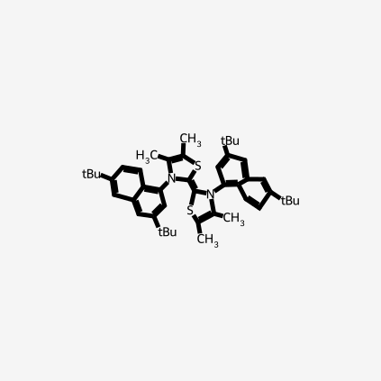 CC1=C(C)N(c2cc(C(C)(C)C)cc3cc(C(C)(C)C)ccc23)/C(=C2\SC(C)=C(C)N2c2cc(C(C)(C)C)cc3cc(C(C)(C)C)ccc23)S1